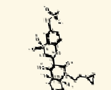 CS(=O)(=O)Nc1ccc2c(c1)S(=O)(=O)N=C(C1=C(O)[C@H]3CCC[C@H]3N(CCC3CC3)C1=O)N2